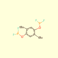 CC(C)(C)c1cc(OP(F)F)c(C(C)(C)C)cc1OP(F)F